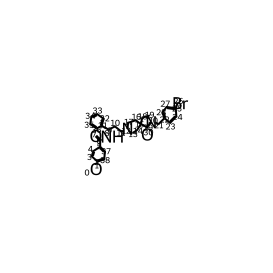 COc1ccc(C(=O)NC(CCN2CCC3(CC2)CCN(Cc2ccc(Br)cc2)C3=O)c2ccccc2)cc1